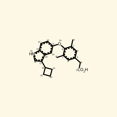 Cc1cc(CC(=O)O)cc(C)c1Oc1ccc2[nH]cc(C3CCC3)c2c1